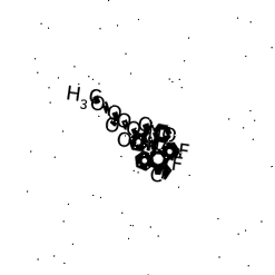 COCCOC(=O)OCOc1c2n(ccc1=O)N(C1c3ccccc3-c3occc3-c3c1ccc(F)c3F)C1COCCN1C2=O